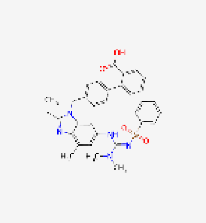 CCc1nc2c(C)cc(N/C(=N\S(=O)(=O)c3ccccc3)N(C)C)cc2n1Cc1ccc(-c2ccccc2C(=O)O)cc1